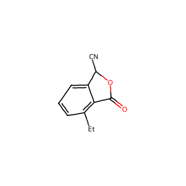 CCc1cccc2c1C(=O)OC2C#N